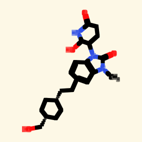 Cn1c(=O)n(C2CCC(=O)NC2O)c2ccc(CC[C@H]3CC[C@@H](CO)CC3)cc21